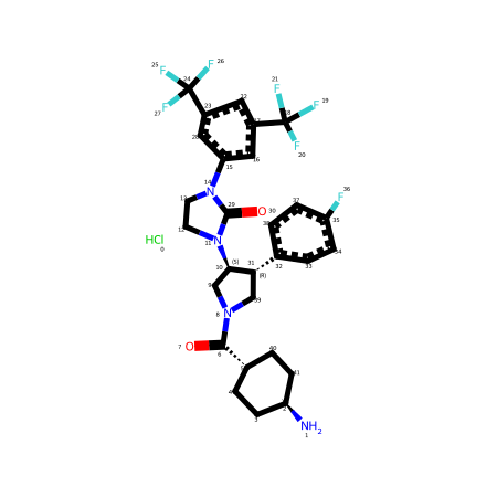 Cl.N[C@H]1CC[C@H](C(=O)N2C[C@@H](N3CCN(c4cc(C(F)(F)F)cc(C(F)(F)F)c4)C3=O)[C@H](c3ccc(F)cc3)C2)CC1